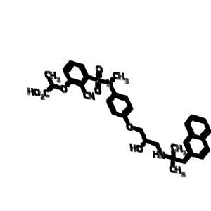 CC(Oc1cccc(S(=O)(=O)N(C)c2ccc(OC[C@H](O)CNC(C)(C)Cc3ccc4ccccc4c3)cc2)c1C#N)C(=O)O